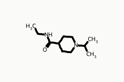 CCNC(=O)C1CCN(C(C)C)CC1